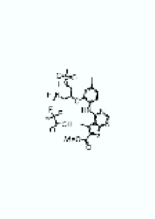 COC(=O)c1sc2ncnc(Nc3ccc(F)cc3OC(CN)CNS(C)(=O)=O)c2c1C.O=C(O)C(F)(F)F